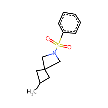 CC1CC2(C1)CN(S(=O)(=O)c1ccccc1)C2